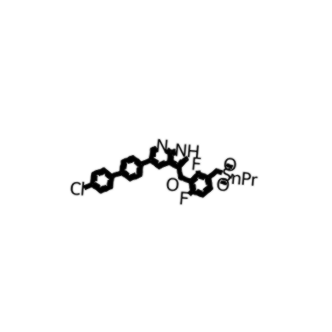 CCCS(=O)(=O)Cc1ccc(F)c(C(=O)c2c[nH]c3ncc(-c4ccc(-c5ccc(Cl)cc5)cc4)cc23)c1F